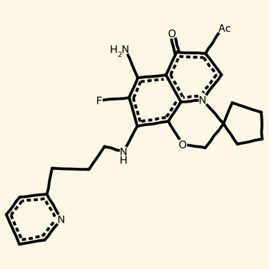 CC(=O)c1cn2c3c(c(NCCCc4ccccn4)c(F)c(N)c3c1=O)OCC21CCCC1